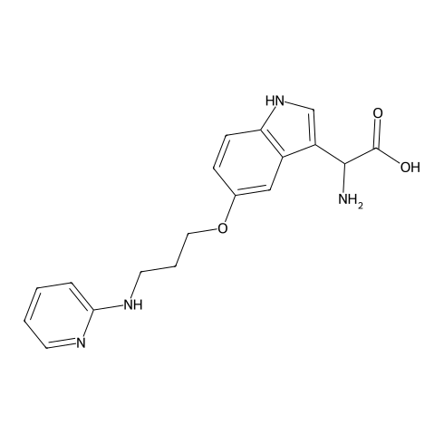 NC(C(=O)O)c1c[nH]c2ccc(OCCCNc3ccccn3)cc12